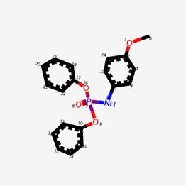 COc1ccc(NP(=O)(Oc2ccccc2)Oc2ccccc2)cc1